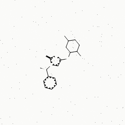 CC1CCC(C(C)C)C(Oc2cn([C@H](C)c3ccccc3)c(=O)o2)C1